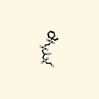 C=CC1(S(=O)(=O)CCS(=O)(=O)CC(O)CS(=O)(=O)CCCl)C=CC=CC1